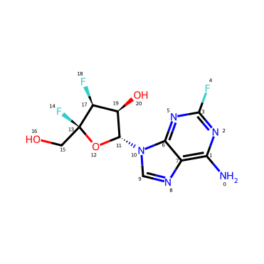 Nc1nc(F)nc2c1ncn2[C@@H]1O[C@](F)(CO)[C@@H](F)[C@H]1O